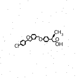 CC#CC(CC(=O)O)c1ccc(OCc2ccc3c(c2)CC(c2ccc(Cl)cc2)O3)cc1